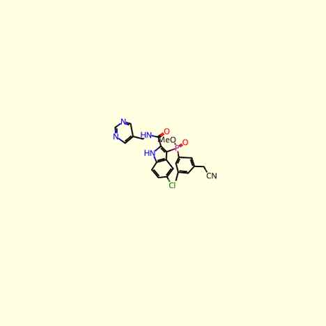 COP(=O)(c1cc(C)cc(CC#N)c1)c1c(C(=O)NCc2cncnc2)[nH]c2ccc(Cl)cc12